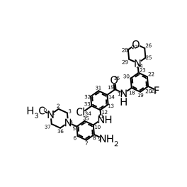 CN1CCN(c2ccc(N)c(Nc3cc(C(=O)Nc4cc(F)cc(N5CCOCC5)c4)ccc3Cl)c2)CC1